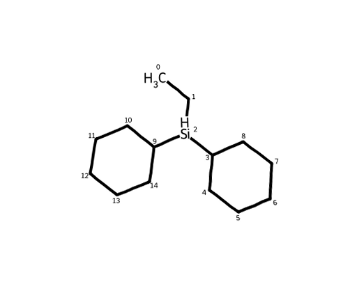 CC[SiH](C1CCCCC1)C1CCCCC1